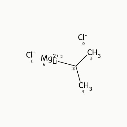 [Cl-].[Cl-].[Li][CH](C)C.[Mg+2]